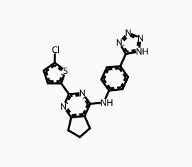 Clc1ccc(-c2nc3c(c(Nc4ccc(-c5nnn[nH]5)cc4)n2)CCC3)s1